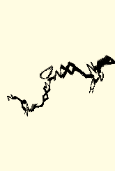 N#Cc1cnn(CC2CC3(C2)CN(C(=O)N2CC4(CC(c5nc(C6CC6)n[nH]5)C4)C2)C3)c1